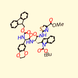 COC(=O)c1csc(NC(=O)[C@H](Cc2cc3ccccc3n2C(=O)OC(C)(C)C)NC(=O)C(NC(=O)OCC2c3ccccc3-c3ccccc32)c2ccc3c(c2)OCCO3)n1